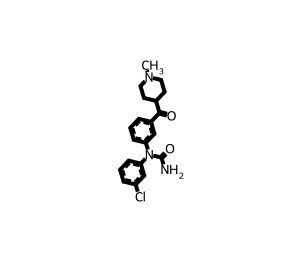 CN1CCC(C(=O)c2cccc(N(C(N)=O)c3cccc(Cl)c3)c2)CC1